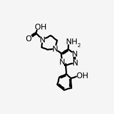 Nc1nnc(-c2ccccc2O)nc1N1CCN(C(=O)O)CC1